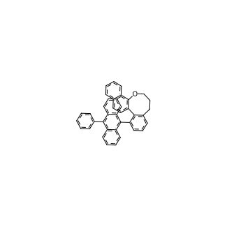 c1ccc(-c2c3ccccc3c(-c3cccc4c3-c3ccc5ccccc5c3OCCC4)c3ccccc23)cc1